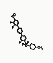 CC1CCC(OC(F)(F)c2ccc(-c3ccc(-c4ccc(C5CO5)c(F)c4F)cc3)cc2F)CC1